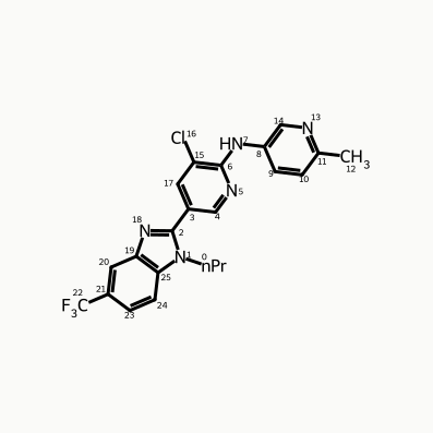 CCCn1c(-c2cnc(Nc3ccc(C)nc3)c(Cl)c2)nc2cc(C(F)(F)F)ccc21